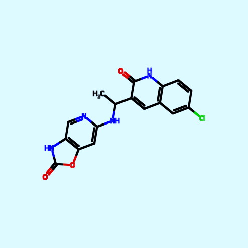 CC(Nc1cc2oc(=O)[nH]c2cn1)c1cc2cc(Cl)ccc2[nH]c1=O